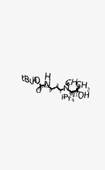 C=C(O)[C@H](C(C)C)N(C)CCCNC(=O)OC(C)(C)C